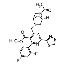 COC(=O)c1c(CN2C[C@H]3CC2CN3C(C)=O)nc(-c2nccs2)nc1-c1ccc(F)cc1Cl